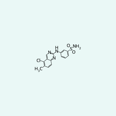 Cc1ccc2nc(Nc3cccc(S(N)(=O)=O)c3)ncc2c1Cl